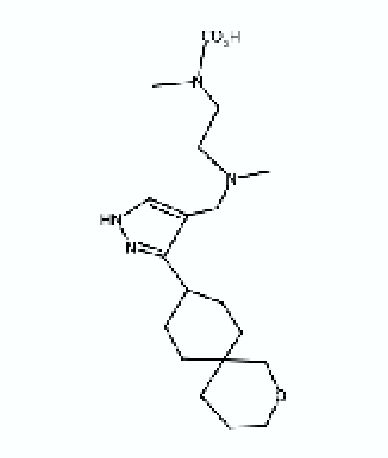 CN(CCN(C)C(=O)O)Cc1c[nH]nc1C1CCC2(CCCOC2)CC1